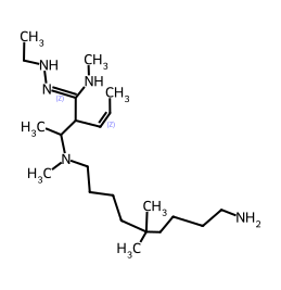 C/C=C\C(/C(=N/NCC)NC)C(C)N(C)CCCCC(C)(C)CCCCN